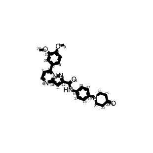 COc1ccc(-c2ccnc3cc(C(=O)Nc4ccc(N5CCC(=O)CC5)cc4)nn23)cc1OC